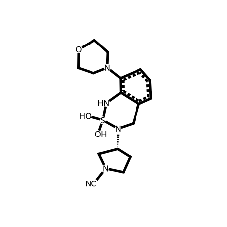 N#CN1CC[C@@H](N2Cc3cccc(N4CCOCC4)c3NS2(O)O)C1